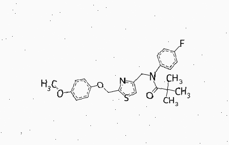 COc1ccc(OCc2nc(CN(C(=O)C(C)(C)C)c3ccc(F)cc3)cs2)cc1